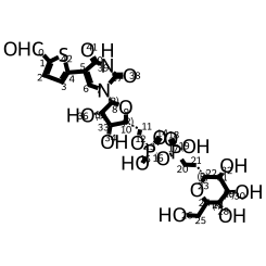 O=Cc1ccc(-c2cn([C@@H]3O[C@H](COP(=O)(O)OP(=O)(O)CC[C@H]4OC(CO)[C@H](O)[C@H](O)C4O)C(O)[C@@H]3O)c(=O)[nH]c2=O)s1